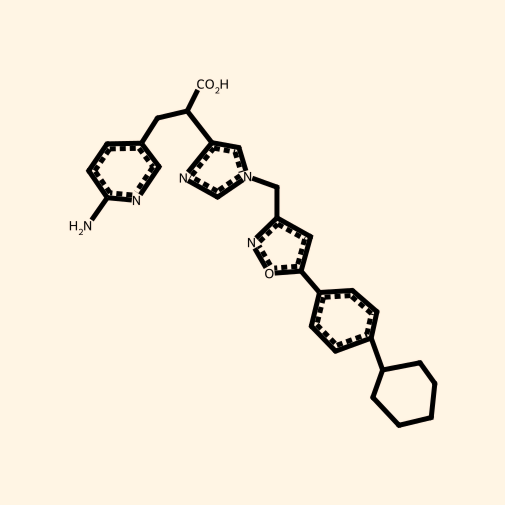 Nc1ccc(CC(C(=O)O)c2cn(Cc3cc(-c4ccc(C5CCCCC5)cc4)on3)cn2)cn1